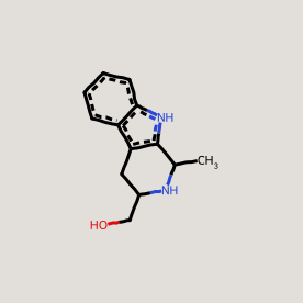 CC1NC(CO)Cc2c1[nH]c1ccccc21